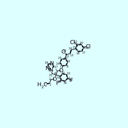 C=CCOC(COc1ccc(C(=O)C=Cc2ccc(Cl)cc2Cl)cc1)(Cn1cncn1)c1ccc(F)cc1F